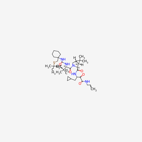 C=CCNC(=O)C(=O)C(CC1CC1)NC(=O)[C@@H]1[C@@H]2[C@H](CN1C(=O)[C@@H](NC(=O)NC1(CSC(C)(C)C)CCCCC1)C(C)(C)C)C2(C)C